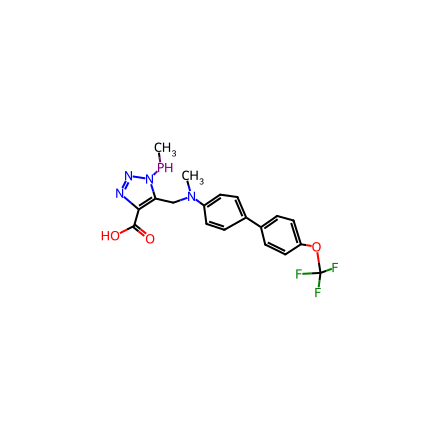 CPn1nnc(C(=O)O)c1CN(C)c1ccc(-c2ccc(OC(F)(F)F)cc2)cc1